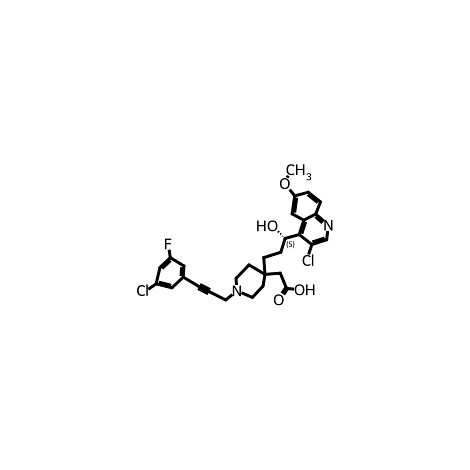 COc1ccc2ncc(Cl)c([C@@H](O)CCC3(CC(=O)O)CCN(CC#Cc4cc(F)cc(Cl)c4)CC3)c2c1